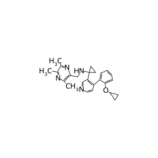 Cc1nc(C)c(CNC2(c3cnccc3-c3ccccc3OC3CC3)CC2)nc1C